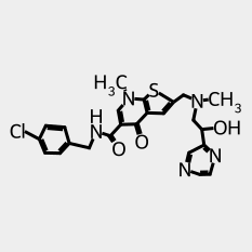 CN(Cc1cc2c(=O)c(C(=O)NCc3ccc(Cl)cc3)cn(C)c2s1)CC(O)c1cnccn1